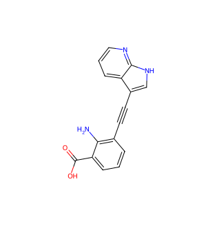 Nc1c(C#Cc2c[nH]c3ncccc23)cccc1C(=O)O